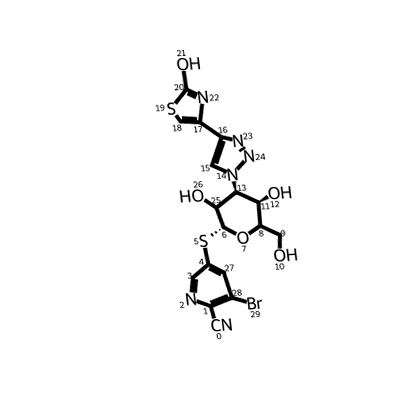 N#Cc1ncc(S[C@H]2OC(CO)[C@H](O)[C@H](n3cc(-c4csc(O)n4)nn3)C2O)cc1Br